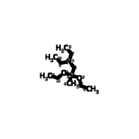 CCO[Si](C)(CN(CC)CC)OCC